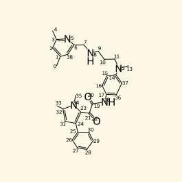 Cc1cc(C)nc(CNCCCN(C)c2ccc(NC(=O)C(=O)c3c(-c4ccccc4)cc(C)n3C)cc2)c1